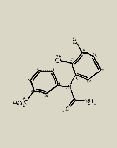 NC(=O)N(c1cccc(C(=O)O)c1)c1cccc(Cl)c1Cl